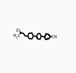 C=C(CC)CCC1CCC(C2=CCC(c3ccc(C#N)cc3)CC2)CC1